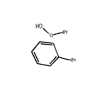 CC(C)OO.CC(C)c1ccccc1